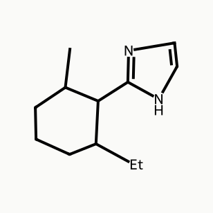 CCC1CCCC(C)C1c1ncc[nH]1